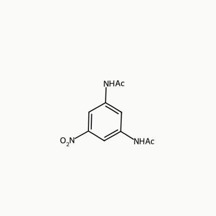 CC(=O)Nc1cc(NC(C)=O)cc([N+](=O)[O-])c1